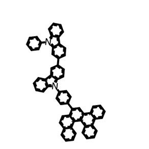 c1ccc(-n2c3ccccc3c3ccc(-c4ccc5c(c4)c4ccccc4n5-c4ccc(-c5cc6c7ccccc7c7ccccc7c6c6c5ccc5ccccc56)cc4)cc32)cc1